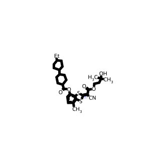 CCC1CCC(C2CCC(C(=O)Oc3ccc(C)c4c3S/C(=C(/C#N)C(=O)OCCC(C)(C)O)S4)CC2)CC1